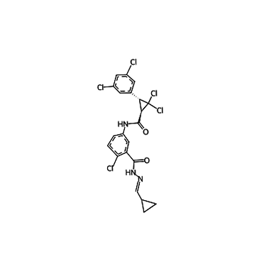 O=C(NN=CC1CC1)c1cc(NC(=O)[C@H]2[C@H](c3cc(Cl)cc(Cl)c3)C2(Cl)Cl)ccc1Cl